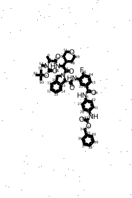 CC(C(=O)NC(C(=O)N1Cc2ccccc2[C@H]1C(=O)Nc1cc(C(=O)Nc2ccc(NC(=O)OCc3ccccc3)cc2)ccc1F)C1CCOCC1)N(C)C(=O)OC(C)(C)C